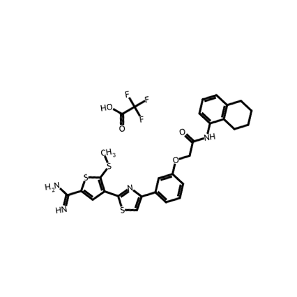 CSc1sc(C(=N)N)cc1-c1nc(-c2cccc(OCC(=O)Nc3cccc4c3CCCC4)c2)cs1.O=C(O)C(F)(F)F